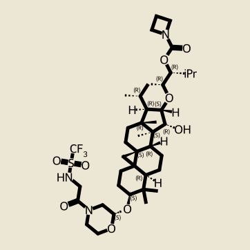 CC(C)[C@@H](OC(=O)N1CCC1)[C@H]1C[C@@H](C)[C@H]2[C@H](O1)[C@H](O)[C@@]1(C)[C@@H]3CC[C@H]4C(C)(C)[C@@H](O[C@H]5CN(C(=O)CNS(=O)(=O)C(F)(F)F)CCO5)CCC45C[C@@]35CC[C@]21C